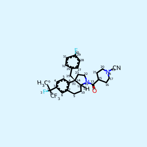 CC(F)(c1ccc2c(c1)CC[C@H]1N(C(=O)C3CCN(C#N)CC3)CC[C@@]21Cc1ccc(F)cc1)C(F)(F)F